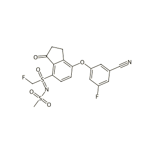 CS(=O)(=O)N=S(=O)(CF)c1ccc(Oc2cc(F)cc(C#N)c2)c2c1C(=O)CC2